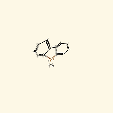 B[SH]1c2ccccc2-c2ccccc21